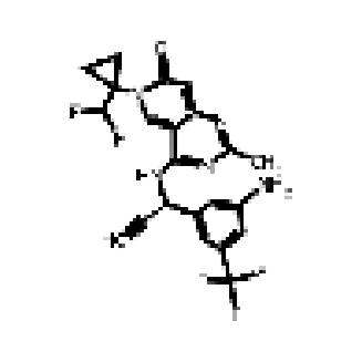 C#C[C@@H](Nc1nc(C)nc2cc(=O)n(C3(C(F)F)CC3)cc12)c1cc(N)cc(C(F)(F)F)c1